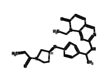 C=CC(=O)N1CC[C@H](Oc2ccc(C(C)Nc3ncc4ccc(=O)n(CC)c4n3)cc2)C1